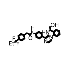 CCC(F)(F)c1ccc(CC(=O)Nc2ccc(-c3nccnc3NC(CO)c3ccccc3)cc2)cc1